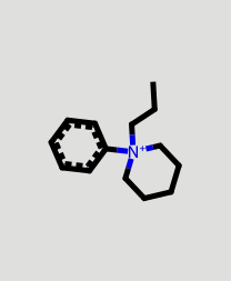 CCC[N+]1(c2ccccc2)CCCCC1